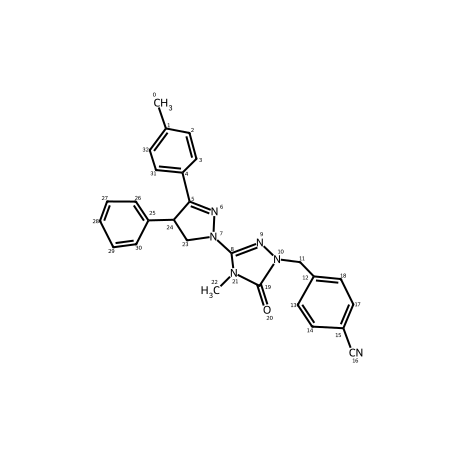 Cc1ccc(C2=NN(c3nn(Cc4ccc(C#N)cc4)c(=O)n3C)CC2c2ccccc2)cc1